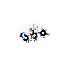 Cn1c(Oc2cccn3ccnc23)c(C(N)=O)c(Nc2ccc(I)cc2F)cc1=O